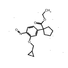 CCOC(=O)C1(c2ccc(N=O)c(OCC3CC3)c2)CCCC1